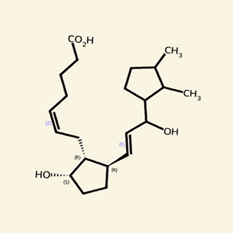 CC1CCC(C(O)/C=C/[C@H]2CC[C@H](O)[C@@H]2C/C=C\CCCC(=O)O)C1C